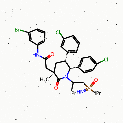 CC(C)C(CS(=N)(=O)C(C)C)N1C(=O)[C@@](C)(CC(=O)Nc2cccc(Br)c2)C[C@H](c2cccc(Cl)c2)[C@H]1c1ccc(Cl)cc1